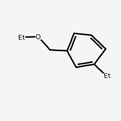 CCOCc1cccc(CC)c1